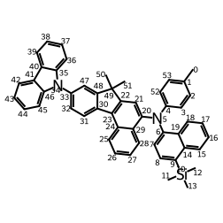 Cc1ccc(N(c2ccc([Si](C)(C)C)c3ccccc23)c2cc3c(c4ccccc24)-c2ccc(-n4c5ccccc5c5ccccc54)cc2C3(C)C)cc1